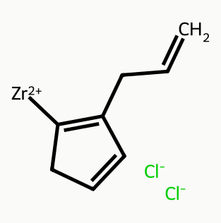 C=CCC1=[C]([Zr+2])CC=C1.[Cl-].[Cl-]